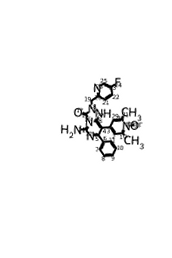 Cc1cc(-c2c(-c3ccccc3)nc(N)[n+]3c(=O)n(Cc4ccc(F)cn4)[nH]c23)cc(C)[n+]1[O-]